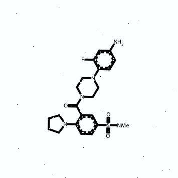 CNS(=O)(=O)c1ccc(N2CCCC2)c(C(=O)N2CCN(c3ccc(N)cc3F)CC2)c1